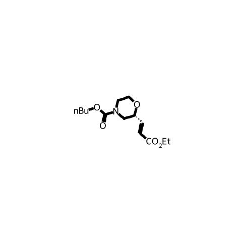 CCCCOC(=O)N1CCO[C@H](/C=C/C(=O)OCC)C1